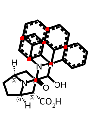 O=C(O)[C@@H]1[C@H]2CC[C@@H](CN1C(O)N(c1ccccc1)c1ccccc1)N2C(=O)N(Cc1ccccc1)Cc1ccccc1